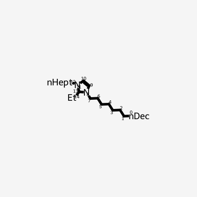 CCCCCCCCCCCCCCCCCN1C=CN(CCCCCCC)C1CC